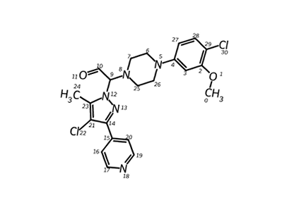 COc1cc(N2CCN(C(C=O)n3nc(-c4ccncc4)c(Cl)c3C)CC2)ccc1Cl